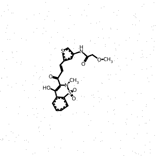 COCC(=O)Nc1csc(C=CC(=O)C2=C(O)c3ccccc3S(=O)(=O)N2C)c1